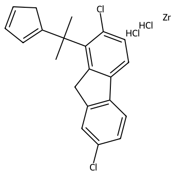 CC(C)(C1=CC=CC1)c1c(Cl)ccc2c1Cc1cc(Cl)ccc1-2.Cl.Cl.[Zr]